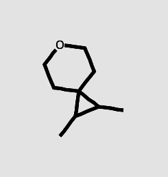 CC1C(C)C12CCOCC2